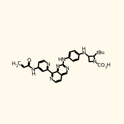 C=CC(=O)Nc1ccnc(-c2nccc3cnc(Nc4ccc(NC5CN(C(=O)O)C5C(C)(C)C)cc4)nc23)c1